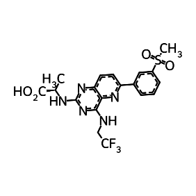 C[C@@H](Nc1nc(NCC(F)(F)F)c2nc(-c3cccc(S(C)(=O)=O)c3)ccc2n1)C(=O)O